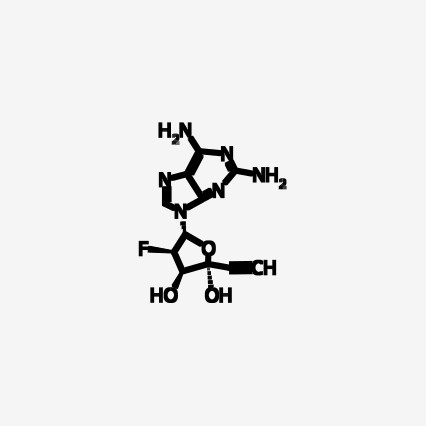 C#C[C@]1(O)O[C@@H](n2cnc3c(N)nc(N)nc32)[C@H](F)[C@@H]1O